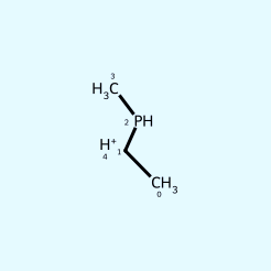 CCPC.[H+]